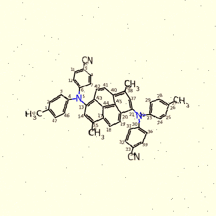 Cc1ccc(N(c2ccc(C#N)cc2)c2cc(C)c3ccc4c(N(c5ccc(C)cc5)c5ccc(C#N)cc5)cc(C)c5ccc2c3c54)cc1